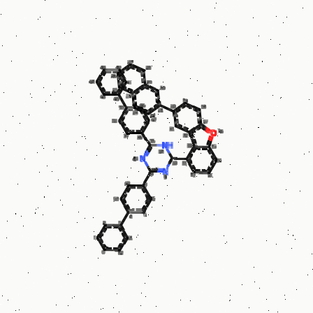 c1ccc(-c2ccc(C3=NC(c4cccc5oc6ccc(-c7ccc8ccccc8c7)cc6c45)NC(c4ccc(-c5ccccc5)cc4)=N3)cc2)cc1